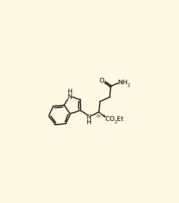 CCOC(=O)[C@H](CCC(N)=O)Nc1c[nH]c2ccccc12